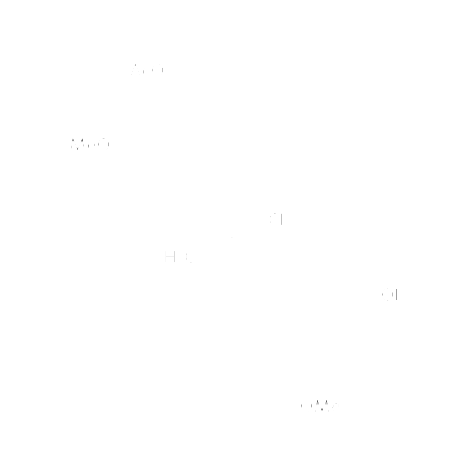 COc1ccc(C(C)(C)c2ccc(OC(C)=O)c(OC)c2)cc1CO